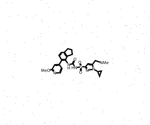 CNCc1cc(S(=O)(=O)NC(=O)Nc2c(-c3ccnc(OC)c3)ccc3c2CCC3)nn1C1CC1